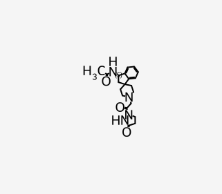 CC(=O)N[C@H]1CC2(CCN(CC(=O)N3CCC(=O)N3)CC2)c2ccccc21